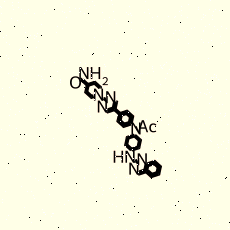 CC(=O)N(c1ccc(-c2cnc(N3CCC(C(N)=O)CC3)nc2)cc1)C1CCC(Nc2ncc3ccccc3n2)CC1